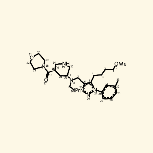 COCCCCc1c(CN(CC(C)C)[C@@H]2CNC[C@H](C(=O)N3CCOCC3)C2)nnn1-c1cccc(C)c1